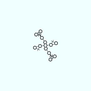 CC1(C)c2ccccc2-c2ccc(-c3c4ccc(-c5ccc(-n6c7ccccc7c7ccccc76)cc5)cc4c(-c4ccc5c(c4)C(C)(C)c4ccccc4-5)c4ccc(-c5ccc(-n6c7ccccc7c7ccccc76)cc5)cc34)cc21